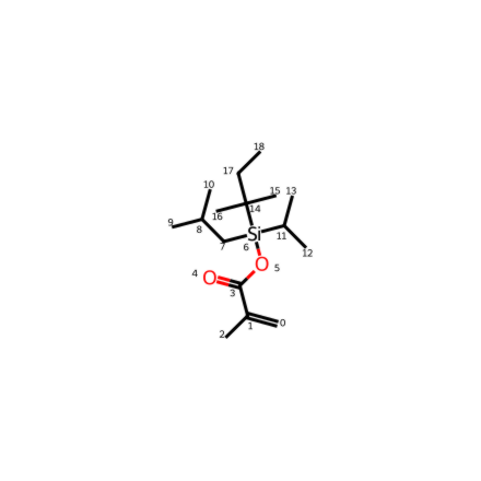 C=C(C)C(=O)O[Si](CC(C)C)(C(C)C)C(C)(C)CC